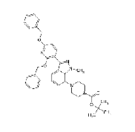 Cn1nc(-c2ccc(OCc3ccccc3)nc2OCc2ccccc2)c2cccc(N3CCN(C(=O)OC(C)(C)C)CC3)c21